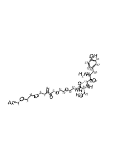 CC(=O)COCCOCCNC(=O)COCCOCCNC(=O)[C@H](CO)NCC(=O)[C@@H](N)Cc1ccc(O)cc1